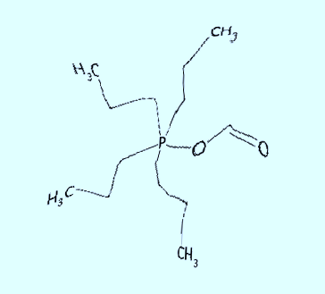 CCCP(CCC)(CCC)(CCC)OC=O